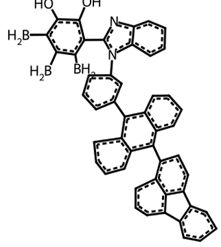 Bc1c(B)c(O)c(O)c(-c2nc3ccccc3n2-c2cccc(-c3c4ccccc4c(-c4ccc5c6c(cccc46)-c4ccccc4-5)c4ccccc34)c2)c1B